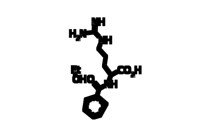 CCO.N=C(N)NCCCC(NC(=O)c1ccccc1)C(=O)O